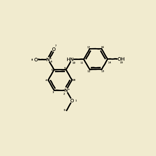 CO[n+]1ccc([N+](=O)[O-])c(Nc2ccc(O)cc2)c1